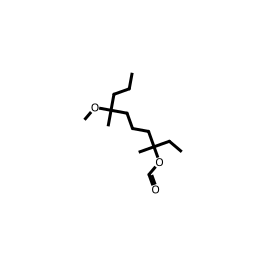 CCCC(C)(CCCC(C)(CC)OC=O)OC